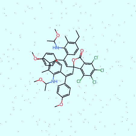 CCc1ccc(C(=CC2(C=C(c3ccc(OC)cc3)c3ccc(CC)c(C)c3NC(C)OC)OC(=O)c3c(Cl)c(Cl)c(Cl)c(Cl)c32)c2ccc(OC)cc2)c(NC(C)OC)c1C